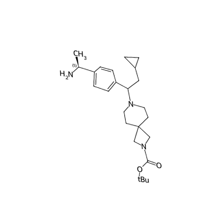 C[C@H](N)c1ccc(C(CC2CC2)N2CCC3(CC2)CN(C(=O)OC(C)(C)C)C3)cc1